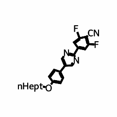 CCCCCCCOc1ccc(-c2cnc(-c3cc(F)c(C#N)c(F)c3)nc2)cc1